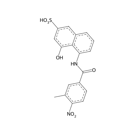 Cc1cc(C(=O)Nc2cccc3cc(S(=O)(=O)O)cc(O)c23)ccc1[N+](=O)[O-]